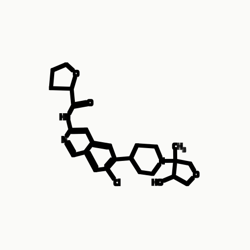 CC1(N2CCC(c3cc4cc(NC(=O)C5CCCO5)ncc4cc3Cl)CC2)COCC1O